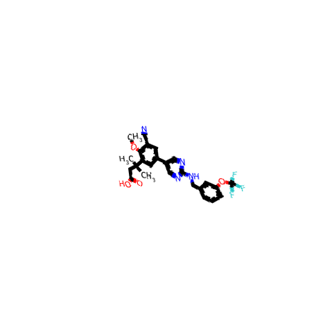 COc1c(C#N)cc(-c2cnc(NCc3cccc(OC(F)(F)F)c3)nc2)cc1C(C)(C)CC(=O)O